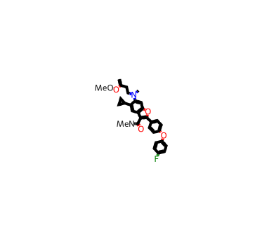 C=C(CCN(C)c1cc2oc(-c3ccc(Oc4ccc(F)cc4)cc3)c(C(=O)NC)c2cc1C1CC1)OOC